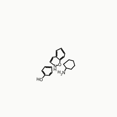 C1=Cc2ccccc2ON1.NC1CCCCC1.Oc1ccccc1